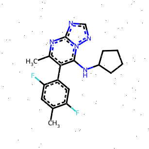 Cc1cc(F)c(-c2c(C)nc3ncnn3c2NC2CCCC2)cc1F